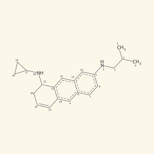 CC(C)CNc1ccc2cc3c(cc2c1)C(NC1CC1)CC=C3